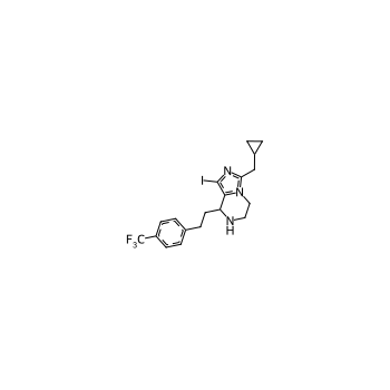 FC(F)(F)c1ccc(CCC2NCCn3c(CC4CC4)nc(I)c32)cc1